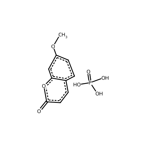 COc1ccc2ccc(=O)oc2c1.O=P(O)(O)O